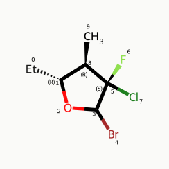 CC[C@H]1OC(Br)[C@@](F)(Cl)[C@@H]1C